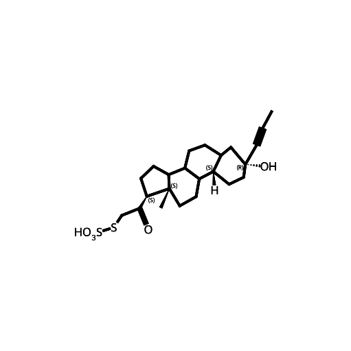 CC#C[C@@]1(O)CC[C@H]2C(CCC3C2CC[C@@]2(C)C3CC[C@@H]2C(=O)CSS(=O)(=O)O)C1